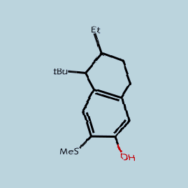 CCC1CCc2cc(O)c(SC)cc2C1C(C)(C)C